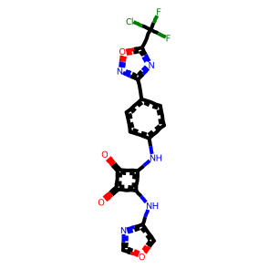 O=c1c(Nc2ccc(-c3noc(C(F)(F)Cl)n3)cc2)c(Nc2cocn2)c1=O